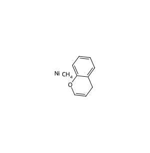 C.C1=COc2ccccc2C1.[Ni]